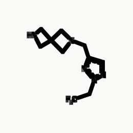 FC(F)(F)Cn1ncc(CN2CC3(CNC3)C2)n1